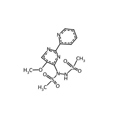 COc1cnc(-c2ccccn2)nc1N(NS(C)(=O)=O)S(C)(=O)=O